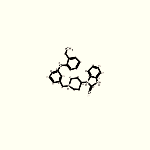 CCc1ccccc1Oc1cccc(CN2CCC(n3c(=O)[nH]c4ccccc43)CC2)c1